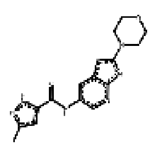 Cc1cc(C(=O)Nc2cnc3[nH]c(N4CCOCC4)cc3c2)[nH]n1